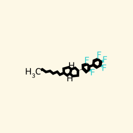 CCCCCCCC1CC[C@@H]2C[C@H](c3cc(F)c(-c4cc(F)c(F)c(F)c4)c(F)c3)CC[C@@H]2C1